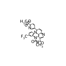 Cn1c(=O)c2cnc3ccc(-c4ccc(S(C)(=O)=O)nc4)nc3c2n(-c2cccc(C(F)(F)F)c2)c1=O